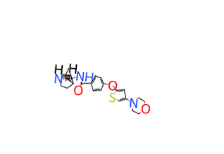 C[C@H]1[C@H](NC(=O)c2ccc(Oc3cc(N4CCOCC4)cs3)cc2)C2CCN1CC2